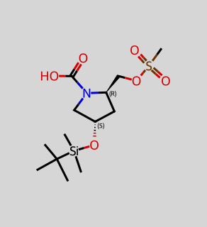 CC(C)(C)[Si](C)(C)O[C@H]1C[C@H](COS(C)(=O)=O)N(C(=O)O)C1